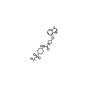 CS(=O)(=O)C1CCC(NC(=O)N2CC(Oc3cccc4scnc34)C2)CC1